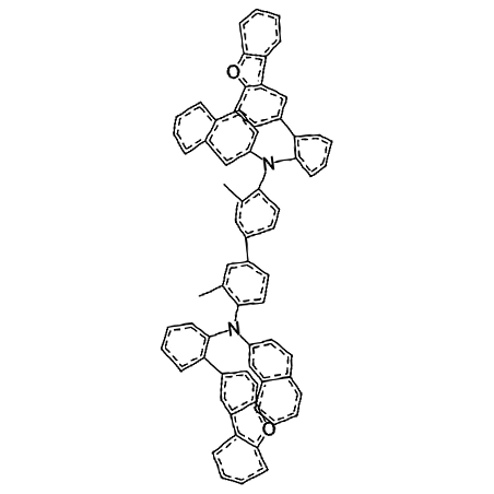 Cc1cc(-c2ccc(N(c3ccc4ccccc4c3)c3ccccc3-c3ccc4oc5ccccc5c4c3)c(C)c2)ccc1N(c1ccc2ccccc2c1)c1ccccc1-c1ccc2oc3ccccc3c2c1